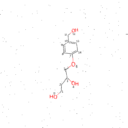 OCCC(O)COc1ccc(CO)cc1